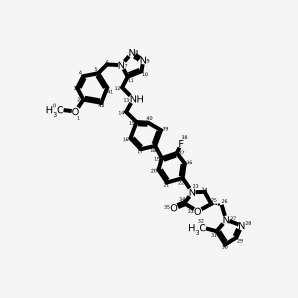 COc1ccc(Cn2nncc2CNCc2ccc(-c3ccc(N4C[C@H](Cn5nccc5C)OC4=O)cc3F)cc2)cc1